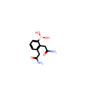 NC(=O)Cc1cccc(B(O)O)c1CC(N)=O